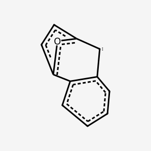 [C]1c2ccc(o2)-c2ccccc21